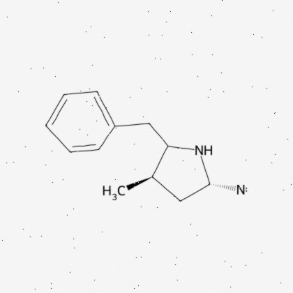 C[C@@H]1C[C@@H]([N])NC1Cc1ccccc1